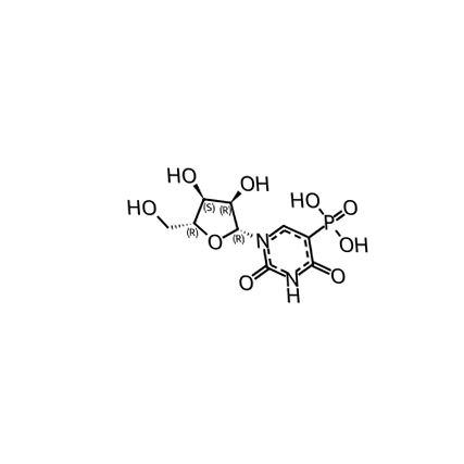 O=c1[nH]c(=O)n([C@@H]2O[C@H](CO)[C@@H](O)[C@H]2O)cc1P(=O)(O)O